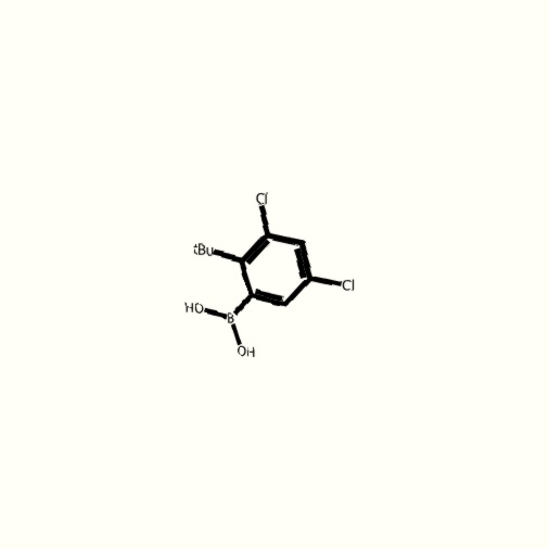 CC(C)(C)c1c(Cl)cc(Cl)cc1B(O)O